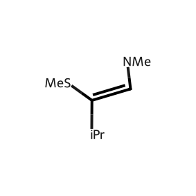 CN/C=C(\SC)C(C)C